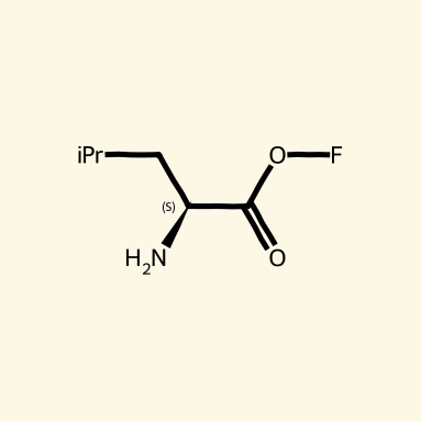 CC(C)C[C@H](N)C(=O)OF